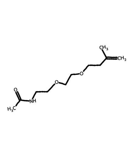 C=C(C)CCOCCOCCNC(C)=O